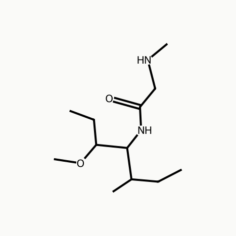 CCC(C)C(NC(=O)CNC)C(CC)OC